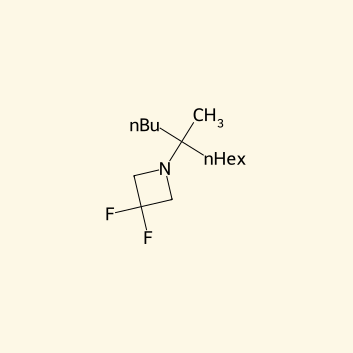 CCCCCCC(C)(CCCC)N1CC(F)(F)C1